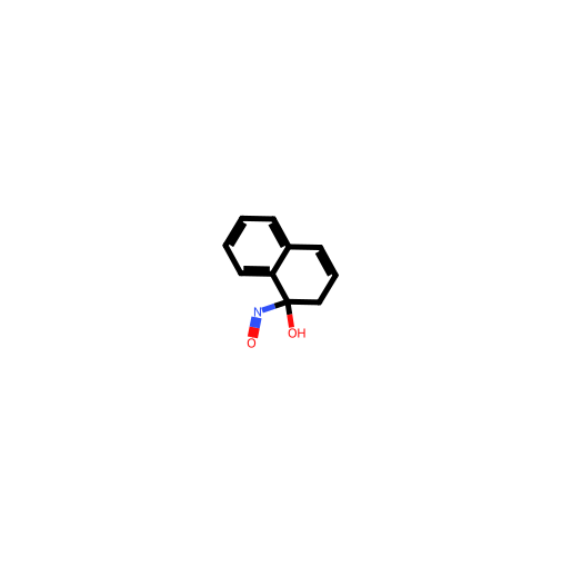 O=NC1(O)CC=Cc2ccccc21